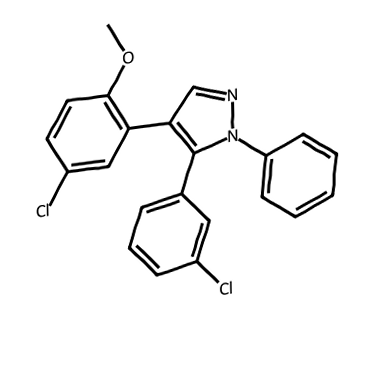 COc1ccc(Cl)cc1-c1cnn(-c2ccccc2)c1-c1cccc(Cl)c1